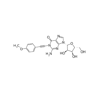 COc1ccc(C#Cn2c(N)nc3c(ncn3[C@@H]3O[C@H](CO)[C@@H](O)[C@H]3O)c2=O)cc1